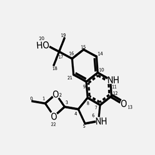 CC1OC(C2CNc3c2c2c([nH]c3=O)=CCC(C(C)(C)O)C=2)O1